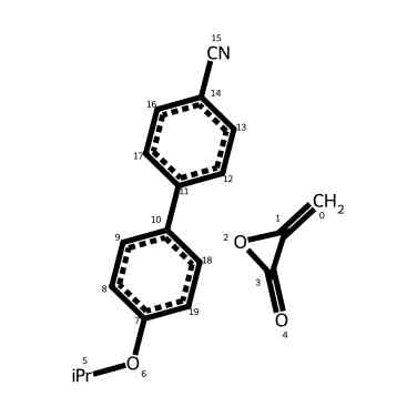 C=C1OC1=O.CC(C)Oc1ccc(-c2ccc(C#N)cc2)cc1